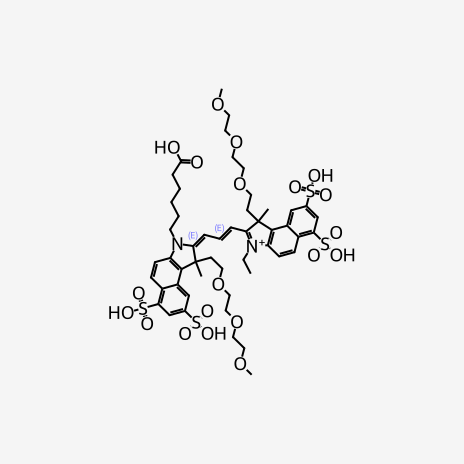 CC[N+]1=C(/C=C/C=C2/N(CCCCCC(=O)O)c3ccc4c(S(=O)(=O)O)cc(S(=O)(=O)O)cc4c3C2(C)CCOCCOCCOC)C(C)(CCOCCOCCOC)c2c1ccc1c(S(=O)(=O)O)cc(S(=O)(=O)O)cc21